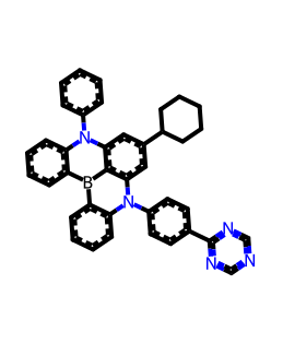 c1ccc(N2c3ccccc3B3c4ccccc4N(c4ccc(-c5ncncn5)cc4)c4cc(C5CCCCC5)cc2c43)cc1